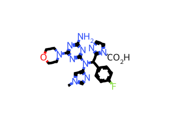 Cn1cnc(N(c2nc(N)nc(N3CCOCC3)n2)C(c2ccc(F)cc2)c2nccn2C(=O)O)c1